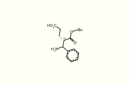 CC(C)(C)OC(=O)[C@@H](CCC(=O)O)C(N)c1ccccc1